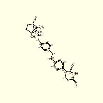 CC1(C)[C@@H]2CC[C@@]1(C)[C@@H](NCc1ccc(CNc3ccc(C4CCC(=O)NC4=O)cc3)cc1)C2